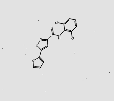 O=C(Nc1c(Cl)cccc1Cl)c1cc(-c2cccs2)on1